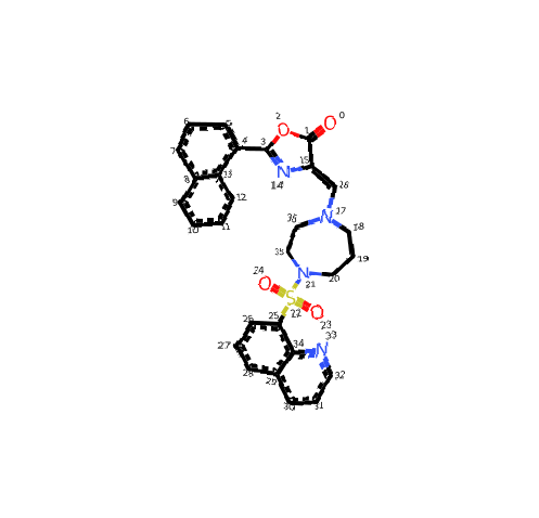 O=C1OC(c2cccc3ccccc23)=NC1=CN1CCCN(S(=O)(=O)c2cccc3cccnc23)CC1